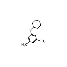 Cc1cc(C)cc(SC2CCCCC2)c1